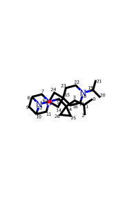 CC(C)CC1(CN2CC3CC(C2)N3C2CC3(CCN(C(C)C)CC3)C2)CC1